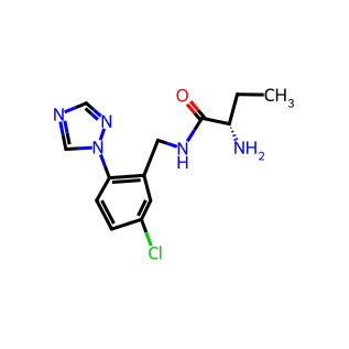 CC[C@H](N)C(=O)NCc1cc(Cl)ccc1-n1cncn1